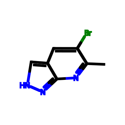 Cc1nc2n[nH]cc2cc1Br